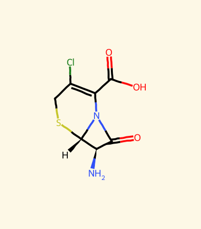 N[C@@H]1C(=O)N2C(C(=O)O)=C(Cl)CS[C@@H]12